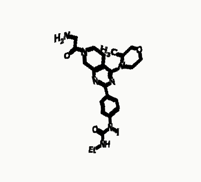 CCNC(=O)N(I)c1ccc(-c2nc3c(c(N4CCOCC4C)n2)CCN(C(=O)CN)C3)cc1